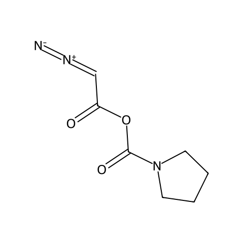 [N-]=[N+]=CC(=O)OC(=O)N1CCCC1